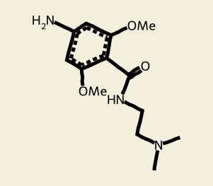 COc1cc(N)cc(OC)c1C(=O)NCCN(C)C